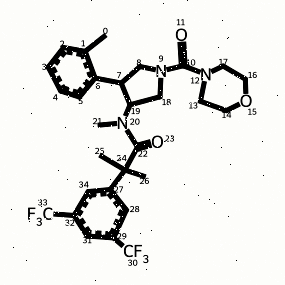 Cc1ccccc1C1CN(C(=O)N2CCOCC2)CC1N(C)C(=O)C(C)(C)c1cc(C(F)(F)F)cc(C(F)(F)F)c1